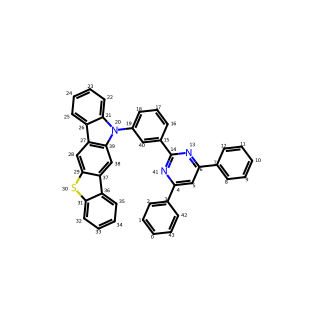 c1ccc(-c2cc(-c3ccccc3)nc(-c3cccc(-n4c5ccccc5c5cc6sc7ccccc7c6cc54)c3)n2)cc1